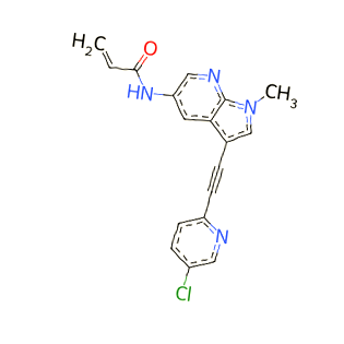 C=CC(=O)Nc1cnc2c(c1)c(C#Cc1ccc(Cl)cn1)cn2C